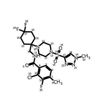 Cc1ccc(C(=O)NCC2(N3CCN(S(=O)(=O)c4cn(C)nn4)CC3)CCC(F)(F)CC2)c(Cl)c1F